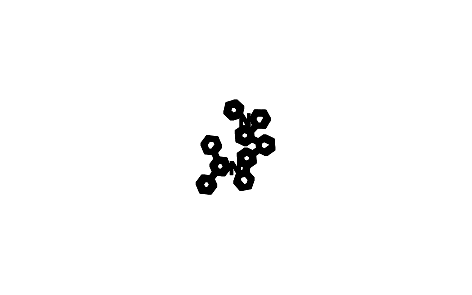 C1=CC(c2ccc3c(c2)c2c(n3-c3cc(C4=CCCCC4)cc(-c4ccccc4)c3)C=CCC2)C(c2cccc3c2C2C=CC=CC2N3c2ccccc2)C=C1